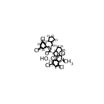 CN1C(=O)C2(c3cc(Cl)cc(Cl)c31)[C@H](C(=O)O)[C@H](C(=O)N(CC1CCCC1)c1cc(Cl)cc(Cl)c1)C1CCCN12